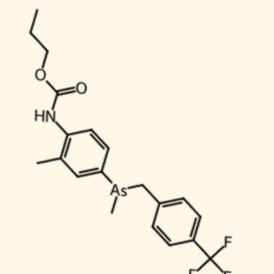 CCCOC(=O)Nc1ccc([As](C)Cc2ccc(C(F)(F)F)cc2)cc1C